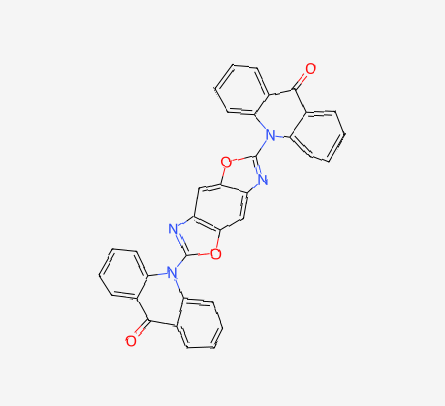 O=c1c2ccccc2n(-c2nc3cc4oc(-n5c6ccccc6c(=O)c6ccccc65)nc4cc3o2)c2ccccc12